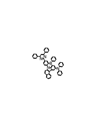 c1ccc(B2c3cc(-c4nc(-c5ccccc5)cc(-c5ccccc5)n4)ccc3-n3c4ccc5ccccc5c4c4cc(N(c5ccccc5)c5ccccc5)cc2c43)cc1